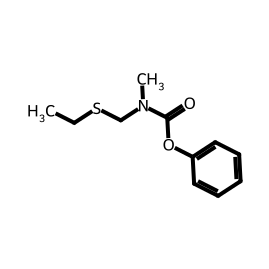 CCSCN(C)C(=O)Oc1ccccc1